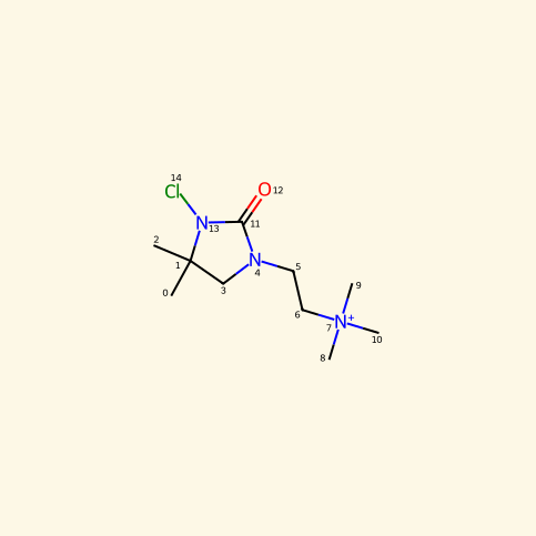 CC1(C)CN(CC[N+](C)(C)C)C(=O)N1Cl